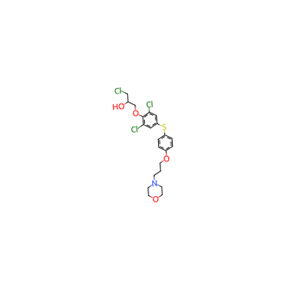 OC(CCl)COc1c(Cl)cc(Sc2ccc(OCCCN3CCOCC3)cc2)cc1Cl